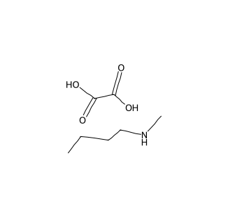 CCCCNC.O=C(O)C(=O)O